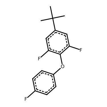 CC(C)(C)c1cc(F)c(Oc2ccc(F)cc2)c(F)c1